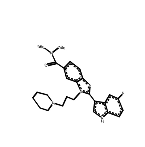 CCCCN(CCCC)C(=O)c1ccc2nc(-c3c[nH]c4ccc(F)cc34)n(CCCN3CCCCC3)c2c1